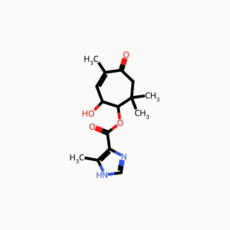 CC1=CC(O)C(OC(=O)c2nc[nH]c2C)C(C)(C)CC1=O